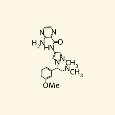 COc1cccc(C(CN(C)C)n2cc(NC(=O)c3nccnc3N)cn2)c1